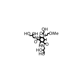 COCCN(C(=O)CO)c1c(I)c(C(=O)NCC(O)CO)c(I)c(C(=O)NCC(O)CO)c1I